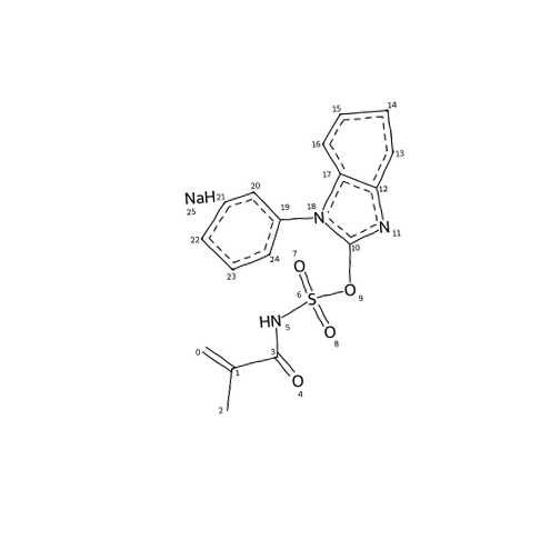 C=C(C)C(=O)NS(=O)(=O)Oc1nc2ccccc2n1-c1ccccc1.[NaH]